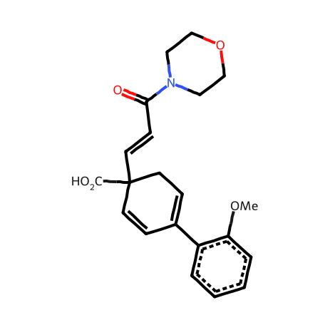 COc1ccccc1C1=CCC(C=CC(=O)N2CCOCC2)(C(=O)O)C=C1